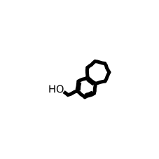 OCc1ccc2c(c1)CCCCC2